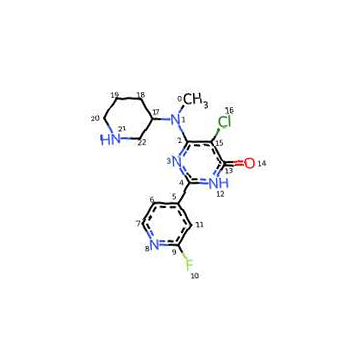 CN(c1nc(-c2ccnc(F)c2)[nH]c(=O)c1Cl)C1CCCNC1